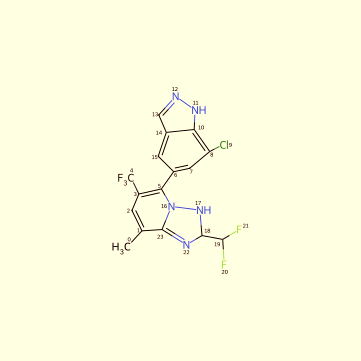 CC1=CC(C(F)(F)F)=C(c2cc(Cl)c3[nH]ncc3c2)N2NC(C(F)F)N=C12